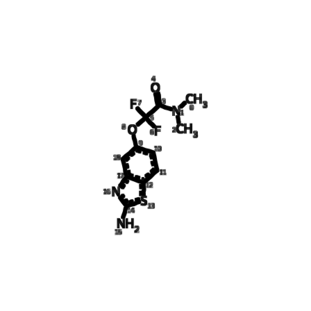 CN(C)C(=O)C(F)(F)Oc1ccc2sc(N)nc2c1